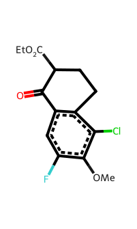 CCOC(=O)C1CCc2c(cc(F)c(OC)c2Cl)C1=O